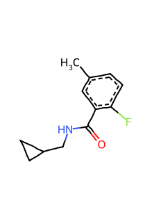 Cc1ccc(F)c(C(=O)NCC2CC2)c1